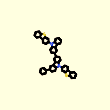 c1ccc(-c2ccc3c(c2)c2cc(-c4ccc5c(c4)c4ccccc4n5-c4ccc5c(c4)sc4ccccc45)ccc2n3-c2ccc3c(c2)sc2ccccc23)cc1